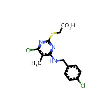 Cc1c(Cl)nc(SCC(=O)O)nc1NCc1ccc(Cl)cc1